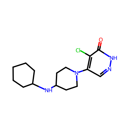 O=c1[nH]ncc(N2CCC(NC3CCCCC3)CC2)c1Cl